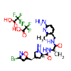 Cc1nc(N)ccc1CNC(=O)[C@H](C)NC(=O)[C@H]1C[C@H](Cc2cc(Br)no2)CN1.O=C(O)C(F)(F)F.O=C(O)C(F)(F)F